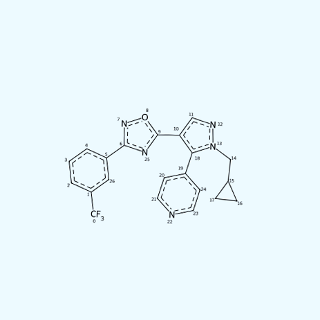 FC(F)(F)c1cccc(-c2noc(-c3cnn(CC4CC4)c3-c3ccncc3)n2)c1